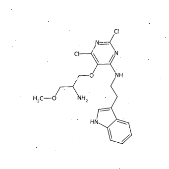 COCC(N)COc1c(Cl)nc(Cl)nc1NCCc1c[nH]c2ccccc12